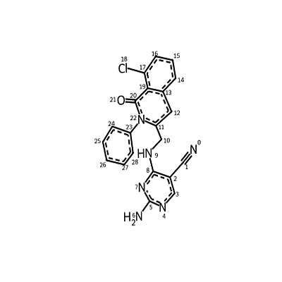 N#Cc1cnc(N)nc1NCc1cc2cccc(Cl)c2c(=O)n1-c1ccccc1